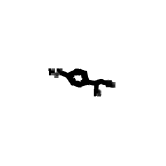 CCC(CC(C)(C)C)c1ccc(N)cc1